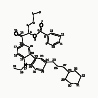 CCCCC(OC(=O)c1ccccc1)C(=O)c1ccc2c(c1)c1cc(CCCC3CCCCC3)ccc1n2CC